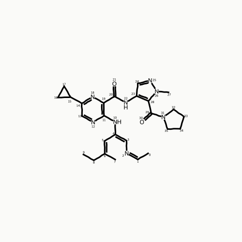 C\C=N/C=C(\C=C(/C)CC)Nc1ncc(C2CC2)nc1C(=O)Nc1cnn(C)c1C(=O)N1CCCC1